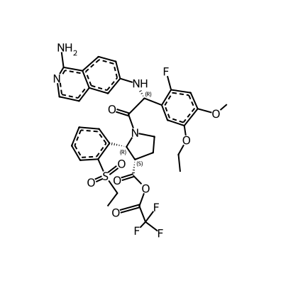 CCOc1cc([C@@H](Nc2ccc3c(N)nccc3c2)C(=O)N2CC[C@H](C(=O)OC(=O)C(F)(F)F)[C@@H]2c2ccccc2S(=O)(=O)CC)c(F)cc1OC